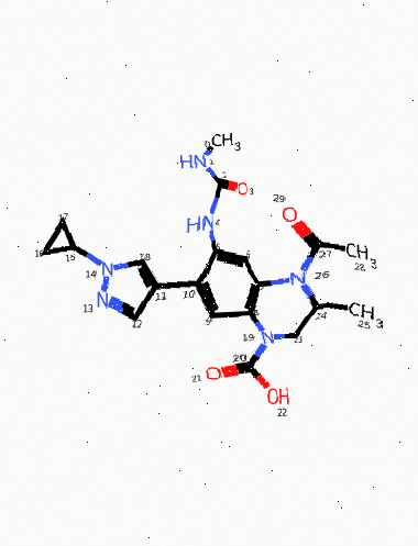 CNC(=O)Nc1cc2c(cc1-c1cnn(C3CC3)c1)N(C(=O)O)CC(C)N2C(C)=O